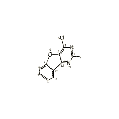 Cc1nc(Cl)c2oc3ccccc3c2n1